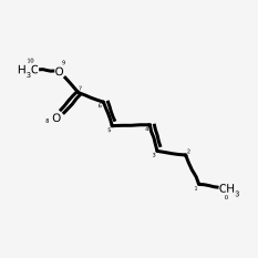 CCCC=CC=CC(=O)OC